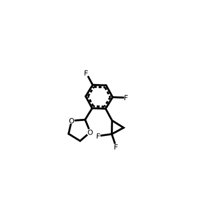 Fc1cc(F)c(C2CC2(F)F)c(C2OCCO2)c1